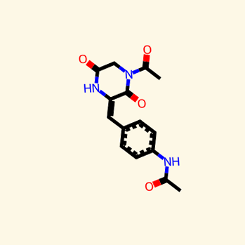 CC(=O)Nc1ccc(/C=C2/NC(=O)CN(C(C)=O)C2=O)cc1